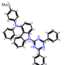 COc1ccc(N(c2ccccc2)c2cccc3c2c2ccccc2n3-c2nc(-c3ccccc3)nc(-c3ccccc3)n2)cc1